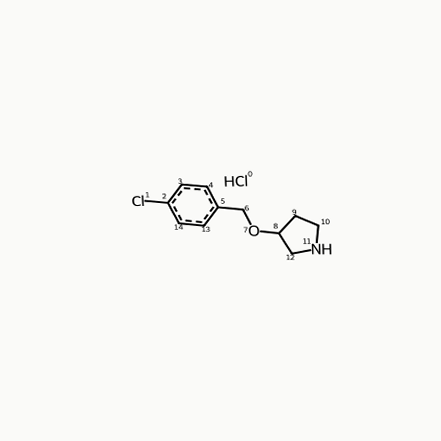 Cl.Clc1ccc(COC2CCNC2)cc1